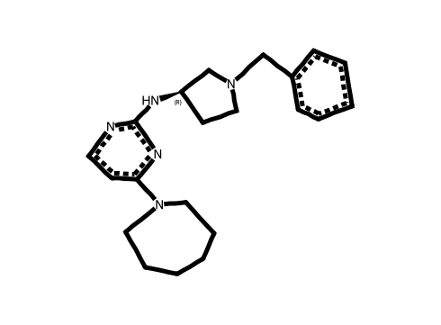 c1ccc(CN2CC[C@@H](Nc3nccc(N4CCCCCC4)n3)C2)cc1